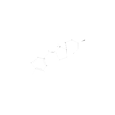 C[C@H]1CC[C@@]2(CCN(Cc3ccc(F)cc3)C2=O)CC1